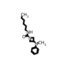 CCCCCCNC(=O)N1CC(N(C)c2ccccc2)C1